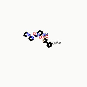 COc1cccc(-c2csc(S(=O)(=O)N[C@H]3CCCN(CC(=O)N4CCC[C@H]4CN4CCCC4)C3=O)c2)c1